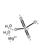 O.O.O=S(=O)([O-])[O-].[Mg+2]